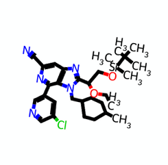 CCOC(CO[Si](C)(C)C(C)(C)C)c1nc2cc(C#N)nc(-c3cncc(Cl)c3)c2n1CC1CCC(C)CC1